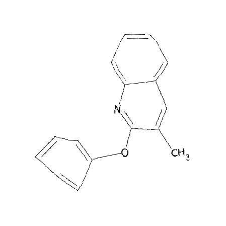 Cc1cc2ccccc2nc1Oc1ccccc1